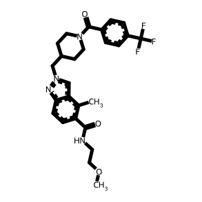 COCCNC(=O)c1ccc2nn(CC3CCN(C(=O)c4ccc(C(F)(F)F)cc4)CC3)cc2c1C